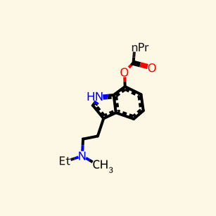 CCCC(=O)Oc1cccc2c(CCN(C)CC)c[nH]c12